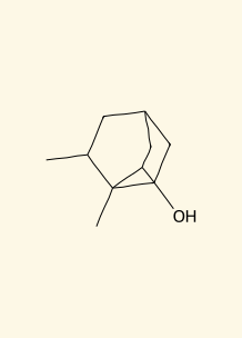 CC1CC2CCC1(C)C(O)C2